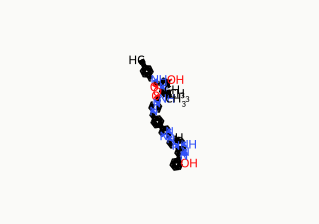 C#Cc1ccc(CNC(=O)[C@@H]2C[C@@H](O)CN2C(=O)[C@@H](NC(=O)N2CCN(Cc3ccc(-c4cnc(N5CCN6c7cc(-c8ccccc8O)nnc7NC[C@H]6C5)nc4)cc3)CC2)C(C)(C)C)cc1